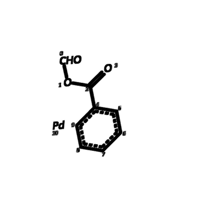 O=COC(=O)c1ccccc1.[Pd]